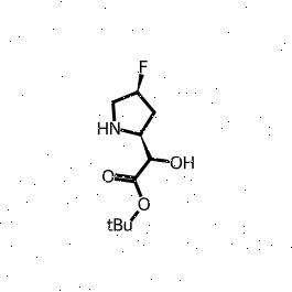 CC(C)(C)OC(=O)C(O)[C@@H]1C[C@H](F)CN1